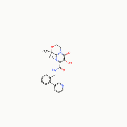 CC1(C)OCCn2c1nc(C(=O)NCc1ccccc1-c1cccnc1)c(O)c2=O